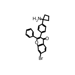 NC1(c2ccc(-c3c(-c4ccccc4)oc4cc(Br)ccc4c3=O)cc2)CCC1